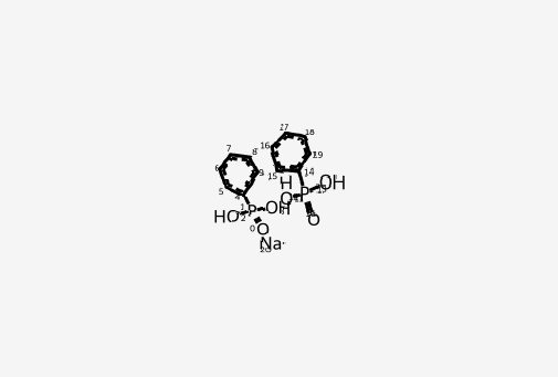 O=P(O)(O)c1ccccc1.O=P(O)(O)c1ccccc1.[Na]